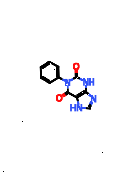 O=c1[nH]c2nc[nH]c2c(=O)n1-c1ccccc1